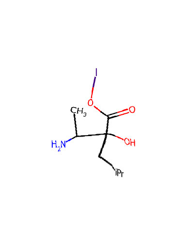 CC(C)CC(O)(C(=O)OI)C(C)N